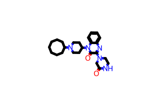 O=C1CN(c2nc3ccccc3n(C3CCN(C4CCCCCCC4)CC3)c2=O)CCN1